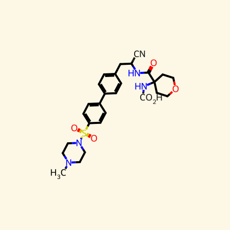 CN1CCN(S(=O)(=O)c2ccc(-c3ccc(CC(C#N)NC(=O)C4(NC(=O)O)CCOCC4)cc3)cc2)CC1